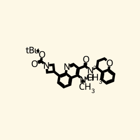 CN(C)c1c(C(=O)N[C@H]2CCOc3ccccc32)cnc2c(C3CN(C(=O)OC(C)(C)C)C3)cccc12